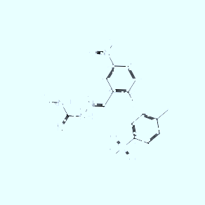 Cc1ccc(S(=O)(=O)O)cc1.N=C(NO)NN=Cc1cc([N+](=O)[O-])ccc1Cl